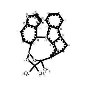 CC1(C)OB2OC1(C)c1ccc3c4ccccc4n(c3c1)-c1c2ccc2oc3ccccc3c12